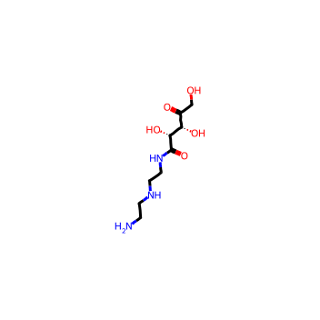 NCCNCCNC(=O)[C@H](O)[C@@H](O)C(=O)CO